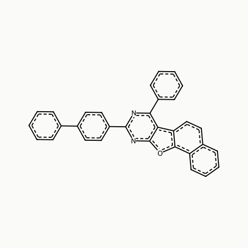 c1ccc(-c2ccc(-c3nc(-c4ccccc4)c4c(n3)oc3c5ccccc5ccc34)cc2)cc1